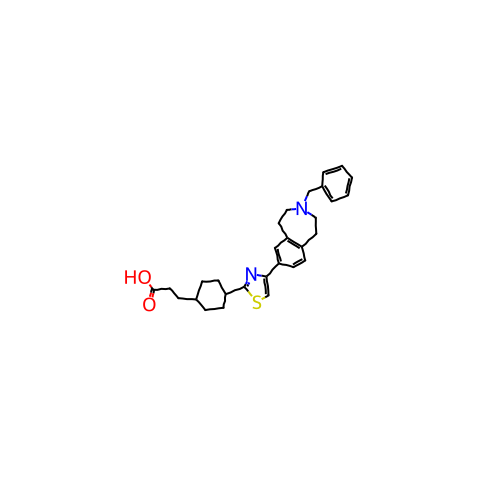 O=C(O)CCC1CCC(c2nc(-c3ccc4c(c3)CCN(Cc3ccccc3)CC4)cs2)CC1